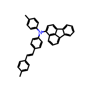 Cc1ccc(C=Cc2ccc(N(c3ccc(C)cc3)c3ccc4c5c(cccc35)-c3ccccc3-4)cc2)cc1